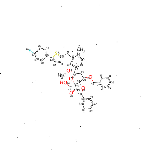 CO[C@]1(c2ccc(C)c(Cc3ccc(-c4ccc(F)cc4)s3)c2)CC(OCc2ccccc2)[C@H](OCc2ccccc2)[C@](C=O)(CO)O1